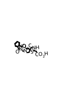 O=C(O)CC1NC(C(=O)O)C2(CCN(CN3C(=O)c4ccccc4C3=O)CC2)S1